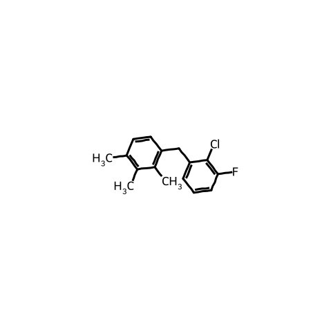 Cc1ccc(Cc2cccc(F)c2Cl)c(C)c1C